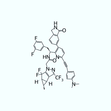 C[C@@H]1[C@@H]2c3c(C(F)(F)F)nn(CC(=O)N[C@@H](Cc4cc(F)cc(F)c4)c4nc(C#Cc5ccc(N(C)C)cc5)ccc4-c4ccc5c(c4)C(=O)NC5)c3C(F)(F)[C@H]12